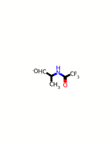 CC([C]=O)NC(=O)C(F)(F)F